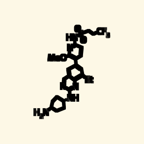 CCc1cc(-c2ccc(NS(=O)(=O)CCC(F)(F)F)nc2OC)cc2cnc(N[C@H]3CC[C@H](N)CC3)nc12